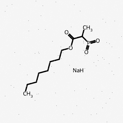 CCCCCCCCOC(=O)C(C)P(=O)=O.[NaH]